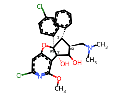 COc1nc(Cl)cc2c1[C@]1(O)C(O)[C@H](CN(C)C)[C@@H](c3ccccc3)[C@]1(c1ccc(Cl)cc1)O2